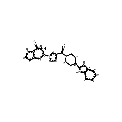 O=C(c1cnn(-c2nc3ccsc3c(=O)[nH]2)c1)N1CCC(c2nc3ccccc3s2)CC1